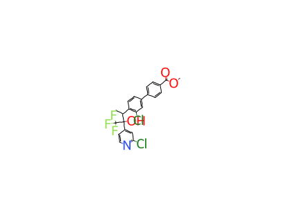 COC(=O)c1ccc(-c2ccc(C(C)C(O)(c3ccnc(Cl)c3)C(F)(F)F)c(Cl)c2)cc1